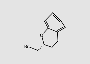 BrC[C@H]1CCc2ccccc2O1